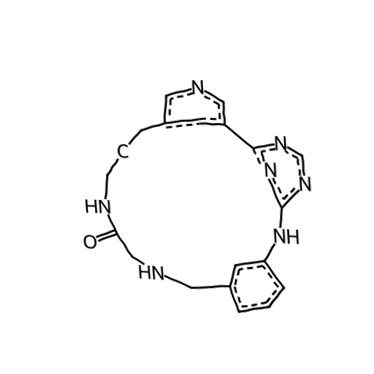 O=C1CNCc2cccc(c2)Nc2ncnc(n2)-c2cncc(c2)CCCN1